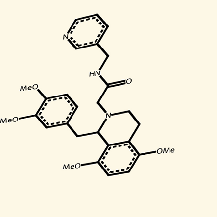 COc1ccc(CC2c3c(OC)ccc(OC)c3CCN2CC(=O)NCc2cccnc2)cc1OC